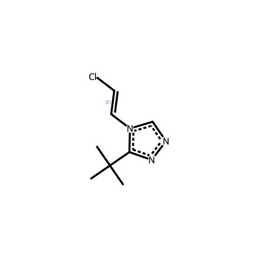 CC(C)(C)c1nncn1/C=C/Cl